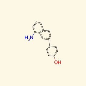 Nc1cccc2ccc(-c3ccc(O)cc3)cc12